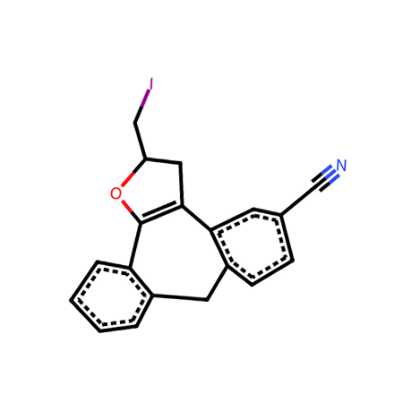 N#Cc1ccc2c(c1)C1=C(OC(CI)C1)c1ccccc1C2